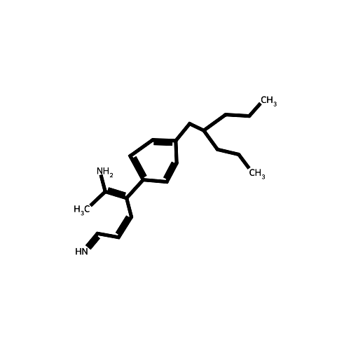 CCCC(CCC)Cc1ccc(C(/C=C\C=N)=C(/C)N)cc1